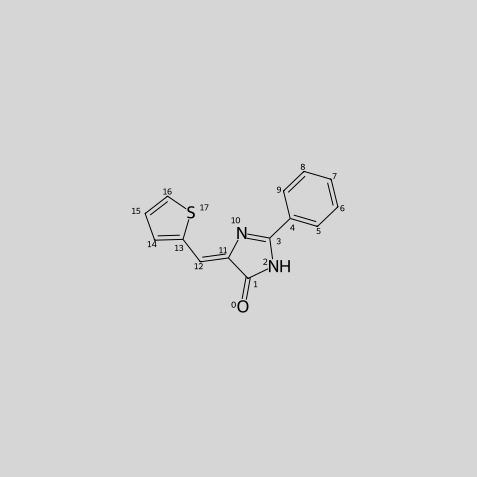 O=C1NC(c2ccccc2)=N/C1=C\c1cccs1